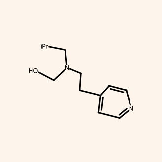 CC(C)CN(CO)CCc1ccncc1